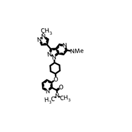 CNc1cc2c(cn1)c(-c1cnn(C)c1)nn2C1CCC(Oc2cccnc2C(=O)N(C)C)CC1